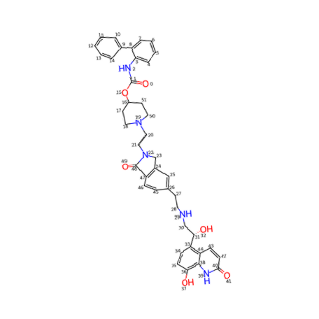 O=C(Nc1ccccc1-c1ccccc1)OC1CCN(CCN2Cc3cc(CCNC[C@H](O)c4ccc(O)c5[nH]c(=O)ccc45)ccc3C2=O)CC1